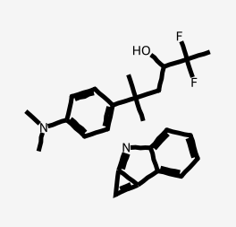 CN(C)c1ccc(C(C)(C)CC(O)C(C)(F)F)cc1.c1ccc2c3cc-3nc2c1